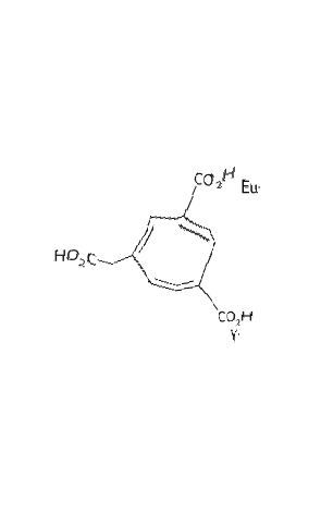 O=C(O)c1cc(C(=O)O)cc(C(=O)O)c1.[Eu].[Y]